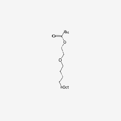 CCCCCCCCCCCCOCCOC(=O)C(C)CC